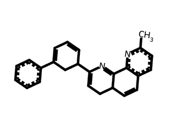 Cc1ccc2c(n1)C1=NC(C3C=CC=C(c4ccccc4)C3)=CCC1C=C2